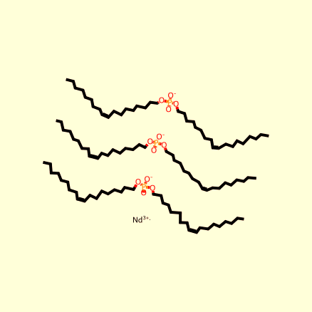 CCCCCCCC/C=C\CCCCCCCCOP(=O)([O-])OCCCCCCCC/C=C\CCCCCCCC.CCCCCCCC/C=C\CCCCCCCCOP(=O)([O-])OCCCCCCCC/C=C\CCCCCCCC.CCCCCCCC/C=C\CCCCCCCCOP(=O)([O-])OCCCCCCCC/C=C\CCCCCCCC.[Nd+3]